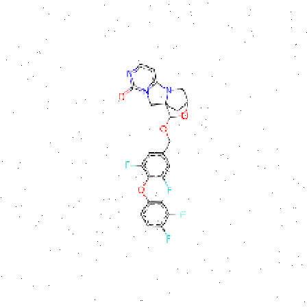 O=c1nccc2n1CC13CC(CN21)OC3OCc1cc(F)c(Oc2ccc(F)c(F)c2)c(F)c1